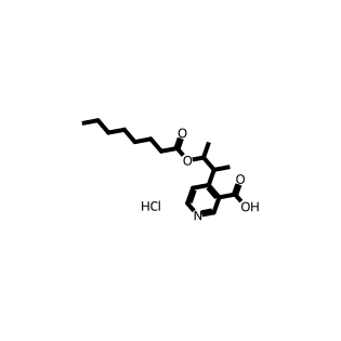 CCCCCCCC(=O)OC(C)C(C)c1ccncc1C(=O)O.Cl